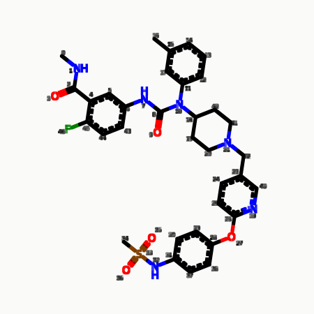 CNC(=O)c1cc(NC(=O)N(c2cccc(C)c2)C2CCN(Cc3ccc(Oc4ccc(NS(C)(=O)=O)cc4)nc3)CC2)ccc1F